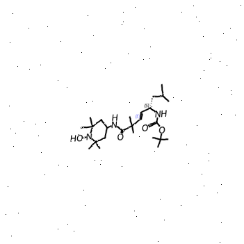 CC(C)C[C@@H](/C=C/C(C)(C)C(=O)NC1CC(C)(C)N(O)C(C)(C)C1)NC(=O)OC(C)(C)C